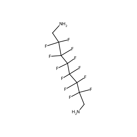 NCC(F)(F)C(F)(F)C(F)(F)C(F)(F)C(F)(F)C(F)(F)CN